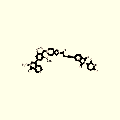 COc1cc(-c2cn(C)c(=O)c3cnccc23)cc(OC)c1CN1CCC2(CC1)CN(C(=O)CC#Cc1ccc3c(c1)C(=O)N(C1CCC(=O)NC1=O)C3=O)C2